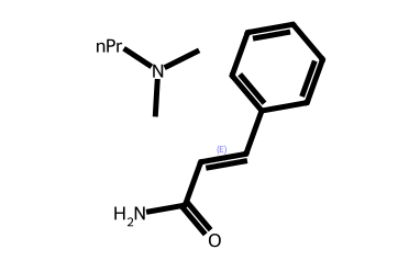 CCCN(C)C.NC(=O)/C=C/c1ccccc1